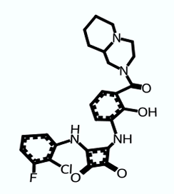 O=C(c1cccc(Nc2c(Nc3cccc(F)c3Cl)c(=O)c2=O)c1O)N1CCN2CCCCC2C1